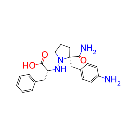 NC(=O)[C@]1(Cc2ccc(N)cc2)CCCN1N[C@H](Cc1ccccc1)C(=O)O